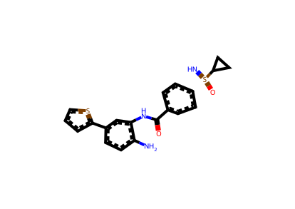 N=[S@](=O)(c1ccc(C(=O)Nc2cc(-c3cccs3)ccc2N)cc1)C1CC1